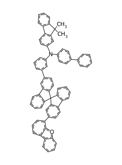 CC1(C)c2ccccc2-c2ccc(N(c3ccc(-c4ccccc4)cc3)c3cccc(-c4ccc5c(c4)-c4ccccc4C54c5ccccc5-c5ccc(-c6cccc7c6oc6ccccc67)cc54)c3)cc21